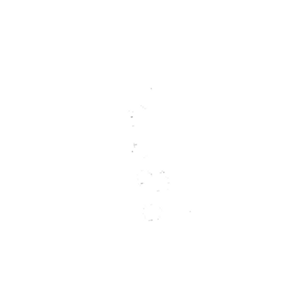 Cc1[nH]c2c(-c3cc(F)ccc3OCC3CC3)ncnc2c1C(=O)N[C@@H]1CC[C@H](NC(=O)CO)C[C@H]1C